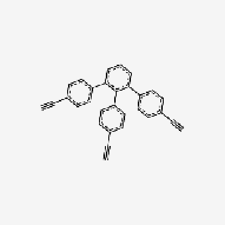 C#Cc1ccc(-c2cccc(-c3ccc(C#C)cc3)c2-c2ccc(C#C)cc2)cc1